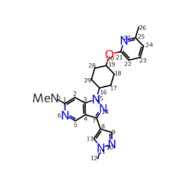 CNc1cc2c(cn1)c(-c1cnn(C)c1)nn2C1CCC(Oc2cccc(C)n2)CC1